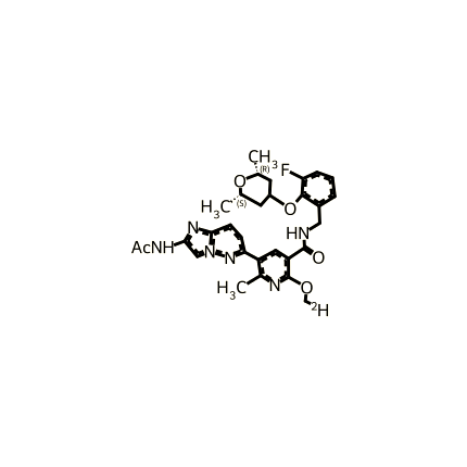 [2H]COc1nc(C)c(-c2ccc3nc(NC(C)=O)cn3n2)cc1C(=O)NCc1cccc(F)c1OC1C[C@@H](C)O[C@@H](C)C1